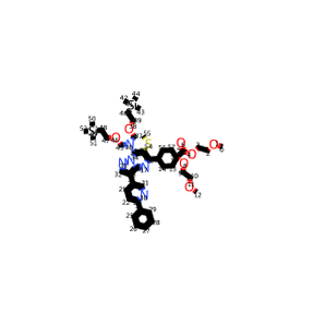 COCCOC(=O)C1(OCCOC)CCC(c2nc3c(-c4ccc(-c5ccccc5)nc4)cnn3c(N(COCC[Si](C)(C)C)COCC[Si](C)(C)C)c2SC)CC1